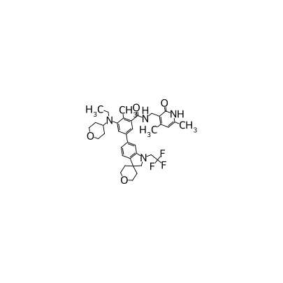 CCN(c1cc(-c2ccc3c(c2)N(CC(F)(F)F)CC32CCOCC2)cc(C(=O)NCc2c(C)cc(C)[nH]c2=O)c1C)C1CCOCC1